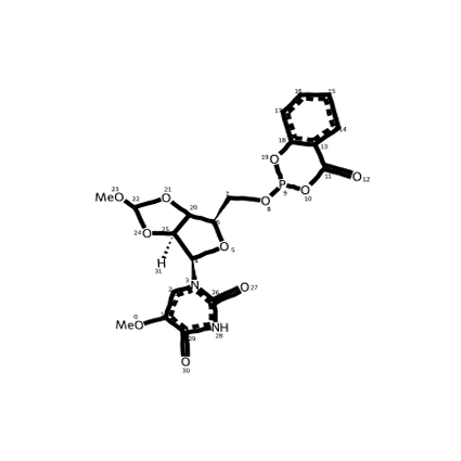 COc1cn([C@@H]2O[C@H](COP3OC(=O)c4ccccc4O3)C3OC(OC)O[C@@H]32)c(=O)[nH]c1=O